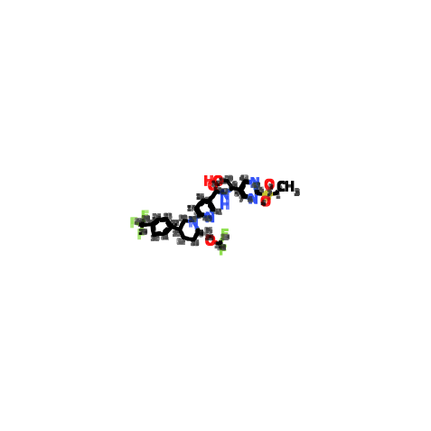 CCS(=O)(=O)c1ncc([C@H](CO)NC(=O)c2ccc(N3CC(c4ccc(C(F)(F)F)cc4)CC[C@H]3COC(F)F)nc2)cn1